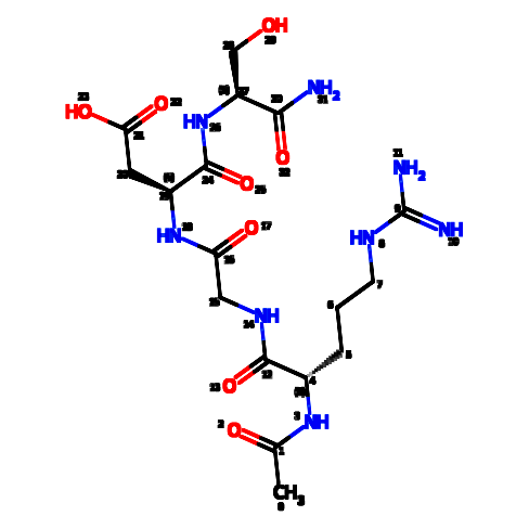 CC(=O)N[C@@H](CCCNC(=N)N)C(=O)NCC(=O)N[C@@H](CC(=O)O)C(=O)N[C@@H](CO)C(N)=O